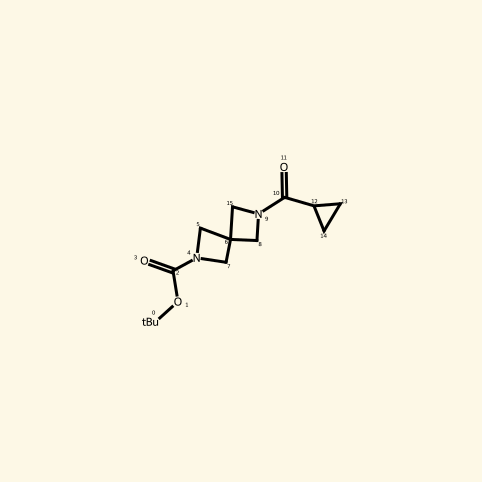 CC(C)(C)OC(=O)N1CC2(C1)CN(C(=O)C1CC1)C2